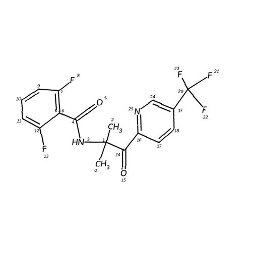 CC(C)(NC(=O)c1c(F)cccc1F)C(=O)c1ccc(C(F)(F)F)cn1